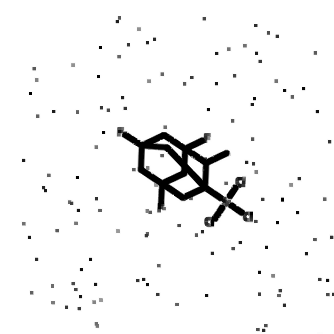 CC1C2(F)CC3(F)CC(F)(C2)CC1([Si](Cl)(Cl)Cl)C3